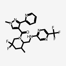 CC1CC(F)(F)CN(C(=O)c2cn(C)nc2-c2ccccn2)C1CNc1cnc(C(F)(F)F)cn1